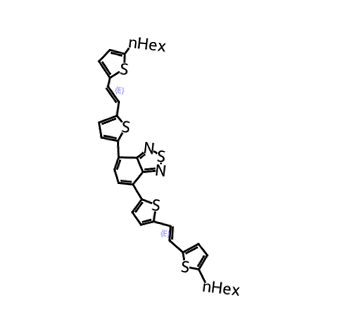 CCCCCCc1ccc(/C=C/c2ccc(-c3ccc(-c4ccc(/C=C/c5ccc(CCCCCC)s5)s4)c4nsnc34)s2)s1